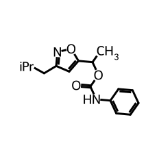 CC(C)Cc1cc(C(C)OC(=O)Nc2ccccc2)on1